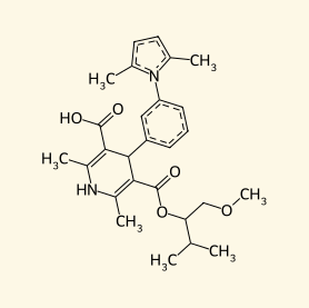 COCC(OC(=O)C1=C(C)NC(C)=C(C(=O)O)C1c1cccc(-n2c(C)ccc2C)c1)C(C)C